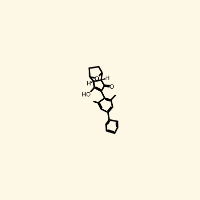 Cc1cc(-c2ccccc2)cc(C)c1C1=C(O)[C@@H]2C3CCC(O3)[C@@H]2C1=O